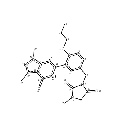 CCCOc1ccc(CN2C(=O)CN(C)C2=O)cc1-c1nc2c(c(C)nn2C)c(=O)[nH]1